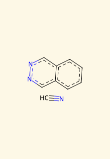 C#N.c1ccc2cnncc2c1